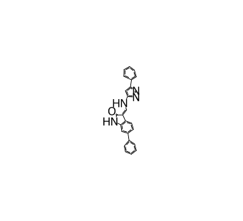 Cn1nc(-c2ccccc2)cc1NC=C1C(=O)Nc2cc(-c3ccccc3)ccc21